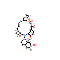 C[C@@H]1C/C=C/C[C@H]2CC[C@H]2CN2C[C@@]3(CCCc4cc(Cl)c(O)cc43)COc3ccc(cc32)C(=O)NS(=O)(=O)[C@@H]1C1CC1